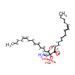 CCCC/C=C\CCCCCCCC(=O)C(CN)(OP(=O)(O)O)C(=O)CCCCCCC/C=C\CCCC